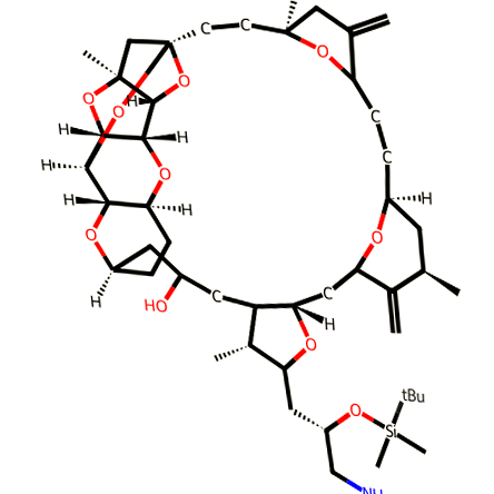 C=C1C[C@@H]2CC[C@@]34C[C@]5(C)O[C@H]6[C@@H](O3)[C@H]3O[C@H](CC[C@@H]3O[C@H]6[C@H]5O4)CC(O)CC3[C@@H](C)C(C[C@@H](CN)O[Si](C)(C)C(C)(C)C)O[C@H]3CC3O[C@@H](CCC1O2)C[C@@H](C)C3=C